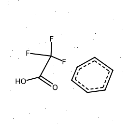 O=C(O)C(F)(F)F.c1ccccc1